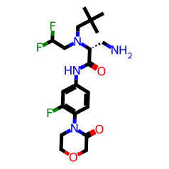 CC(C)(C)CN(CC(F)F)[C@H](CN)C(=O)Nc1ccc(N2CCOCC2=O)c(F)c1